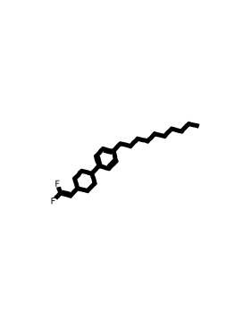 CCCCCCCCCCc1ccc(C2CCC(C=C(F)F)CC2)cc1